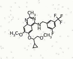 COCC(Oc1cc2c(NCc3cc(F)cc(C(F)(F)F)c3)nc(C)nc2cc1OC)C1CC1